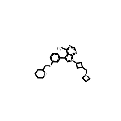 Nc1ncnc2c1c(-c1cccc(OCC3CCCCO3)c1)cn2C1CC(CN2CCC2)C1